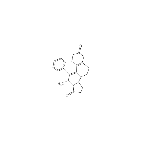 C[C@@H]1C(c2ccccc2)=C2C3=C(CCC2C2CCC(=O)C21)CC(=O)CC3